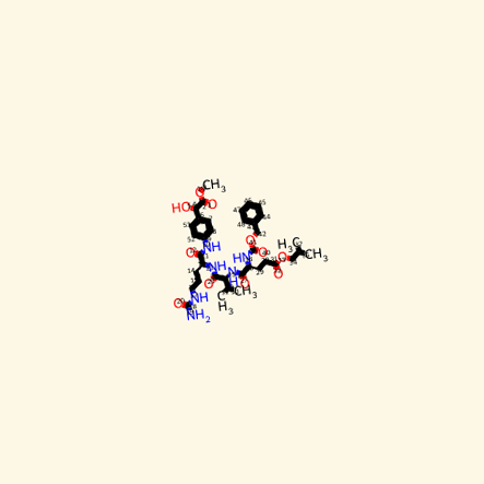 COC(=O)C(O)c1ccc(NC(=O)[C@H](CCCNC(N)=O)NC(=O)[C@@H](NC(=O)[C@H](CCC(=O)OCC(C)C)NC(=O)OCc2ccccc2)C(C)C)cc1